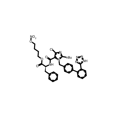 CCCCc1nc(Cl)c(C(=O)N[C@@H](Cc2ccccc2)C(=O)OCCCCO[N+](=O)[O-])n1Cc1ccc(-c2ccccc2-c2nnn[nH]2)cc1